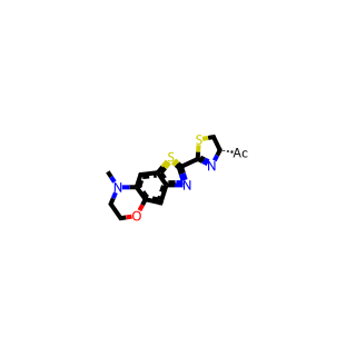 CC(=O)[C@H]1CSC(c2nc3cc4c(cc3s2)N(C)CCO4)=N1